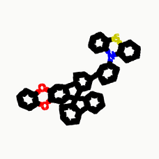 c1cc(-c2ccc3c(c2)C2(c4ccccc4-c4ccccc42)c2cc4c(cc2-3)Oc2ccccc2O4)cc(N2c3ccccc3Sc3ccccc32)c1